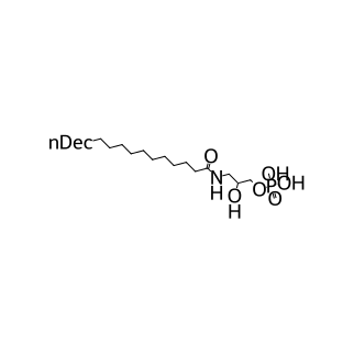 CCCCCCCCCCCCCCCCCCCCC(=O)NCC(O)COP(=O)(O)O